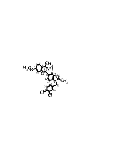 COc1ccc(C(C)NC(=O)c2ccc3c(c2)nc(C)n3Cc2ccc(Cl)c(Cl)c2)cc1